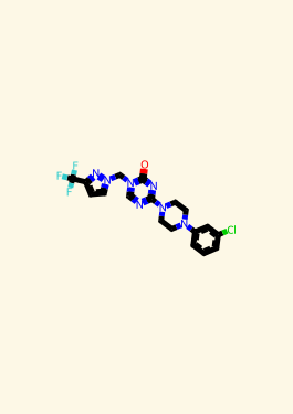 O=c1nc(N2CCN(c3cccc(Cl)c3)CC2)ncn1Cn1ccc(C(F)(F)F)n1